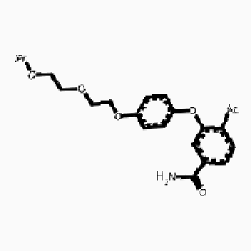 CC(=O)c1ccc(C(N)=O)cc1Oc1ccc(OCCOCCOC(C)C)cc1